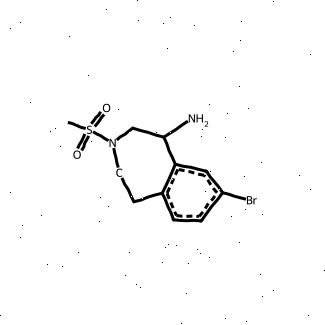 CS(=O)(=O)N1CCc2ccc(Br)cc2C(N)C1